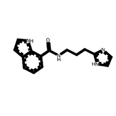 O=C(NCCCc1ncc[nH]1)c1cccc2[c]c[nH]c12